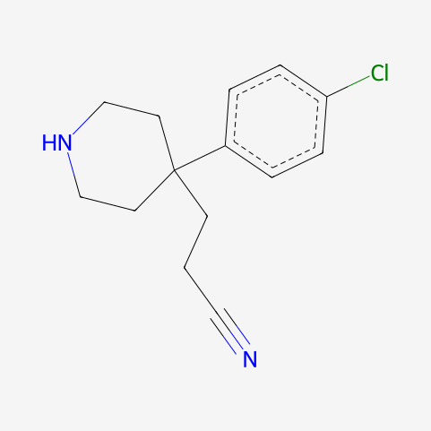 N#CCCC1(c2ccc(Cl)cc2)CCNCC1